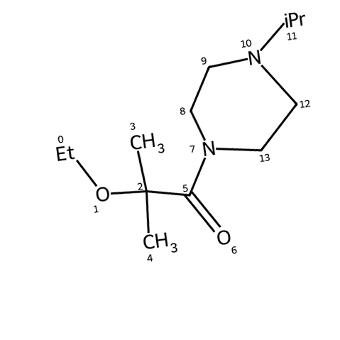 CCOC(C)(C)C(=O)N1CCN(C(C)C)CC1